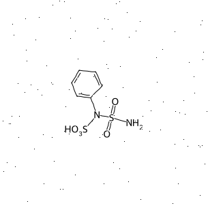 NS(=O)(=O)N(c1ccccc1)S(=O)(=O)O